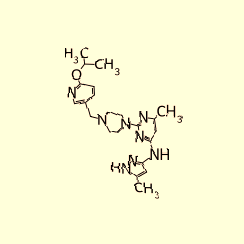 Cc1cc(Nc2cc(C)[nH]n2)nc(N2CCN(Cc3ccc(OC(C)C)nc3)CC2)n1